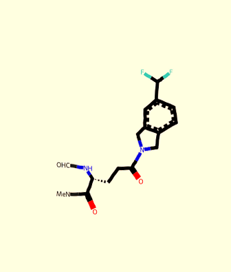 CNC(=O)[C@@H](CCC(=O)N1Cc2ccc(C(F)F)cc2C1)NC=O